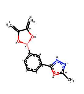 C=C1OB(c2cccc(-c3nnc(C)o3)c2)OC1=C